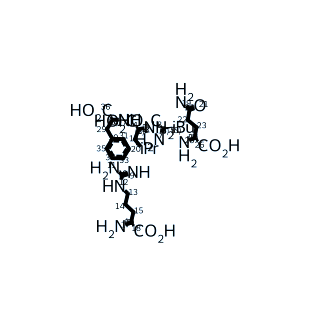 CC(C)C[C@H](N)C(=O)O.CC[C@H](C)[C@H](N)C(=O)O.N=C(N)NCCC[C@H](N)C(=O)O.NC(=O)CC[C@H](N)C(=O)O.N[C@@H](Cc1ccccc1)C(=O)O